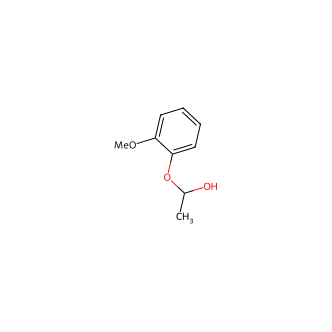 COc1ccccc1OC(C)O